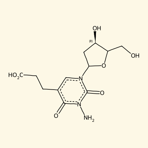 Nn1c(=O)c(CCC(=O)O)cn(C2C[C@@H](O)C(CO)O2)c1=O